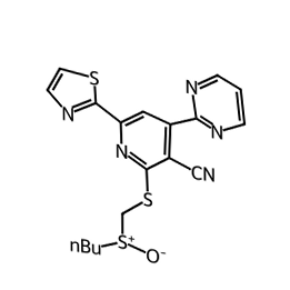 CCCC[S+]([O-])CSc1nc(-c2nccs2)cc(-c2ncccn2)c1C#N